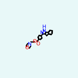 O=C(OCCN1CCOCC1)c1ccc(-c2n[nH]c3c2Cc2ccccc2-3)cc1